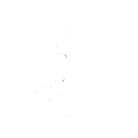 Cc1nc2c(C3CCC(F)(F)CC3)cc([C@@H]3CCO[C@H](c4nnc(C5CC5)o4)C3)nn2c(=O)c1C